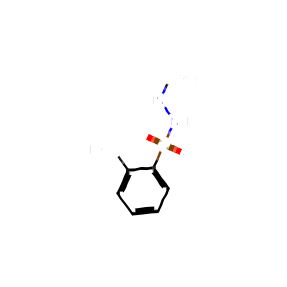 CCCCCNNS(=O)(=O)c1ccccc1C(=O)O